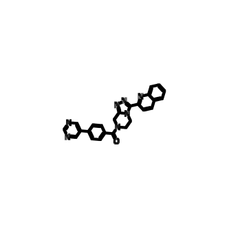 O=C(c1ccc(-c2cncnc2)cc1)N1CCn2c(nnc2-c2ccc3ccccc3n2)C1